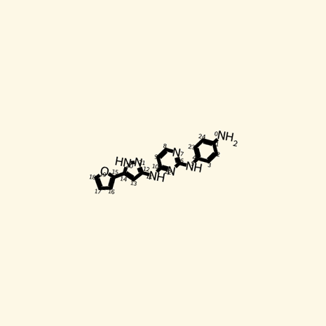 Nc1ccc(Nc2nccc(Nc3cc(-c4ccco4)[nH]n3)n2)cc1